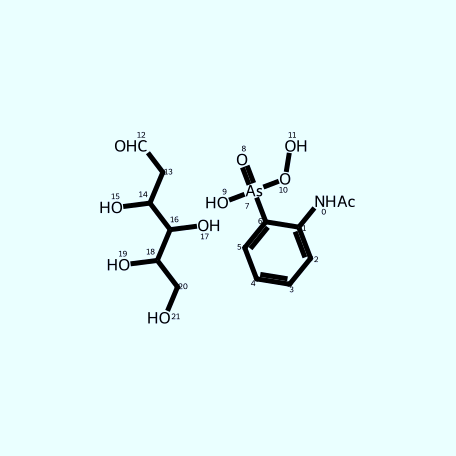 CC(=O)Nc1ccccc1[As](=O)(O)OO.O=CCC(O)C(O)C(O)CO